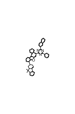 CC1(C)c2ccccc2C2=CCC(c3cccc4c3oc3cc(-c5nc(-c6ccccc6)nc(-c6ccc7ccccc7c6)n5)c5ccccc5c34)CC21